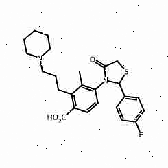 Cc1c(N2C(=O)CSC2c2ccc(F)cc2)ccc(C(=O)O)c1CCCN1CCCCC1